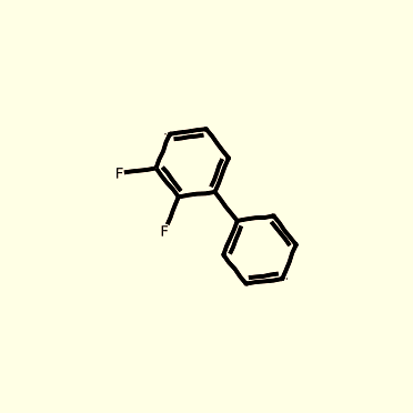 Fc1[c]ccc(-c2cc[c]cc2)c1F